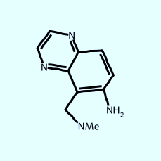 CNCc1c(N)ccc2nccnc12